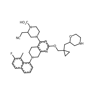 Cc1c(F)ccc2cccc(N3CCc4c(nc(OCC5(CC6CNCCO6)CC5)nc4N4CCN(C(=O)O)C(CC#N)C4)C3)c12